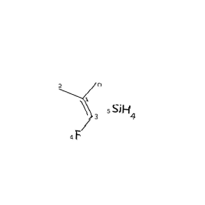 CC(C)=CF.[SiH4]